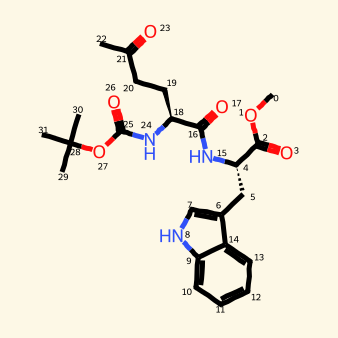 COC(=O)[C@H](Cc1c[nH]c2ccccc12)NC(=O)[C@H](CCC(C)=O)NC(=O)OC(C)(C)C